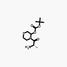 C[C@H](N)C(=O)N1CCSCC1OC(=O)OC(C)(C)C